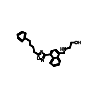 OCCNCc1ccc(-c2noc(CCCCc3ccccc3)n2)c2ccccc12